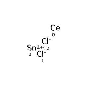 [Ce].[Cl-].[Cl-].[Sn+2]